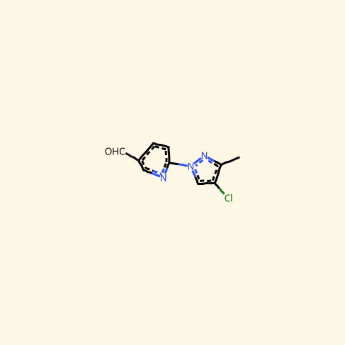 Cc1nn(-c2ccc(C=O)cn2)cc1Cl